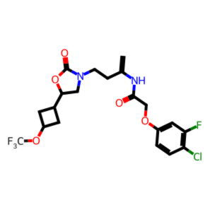 C=C(CCN1CC(C2CC(OC(F)(F)F)C2)OC1=O)NC(=O)COc1ccc(Cl)c(F)c1